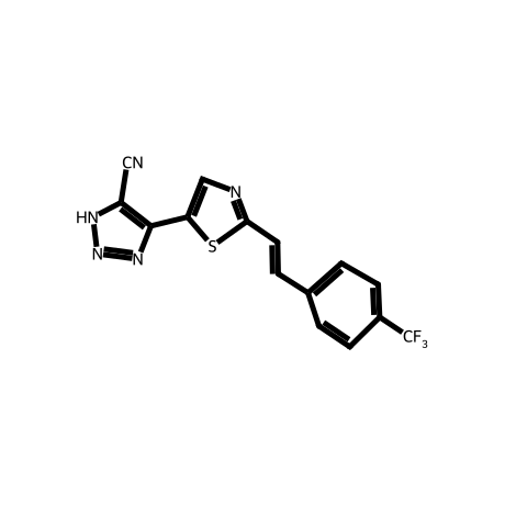 N#Cc1[nH]nnc1-c1cnc(/C=C/c2ccc(C(F)(F)F)cc2)s1